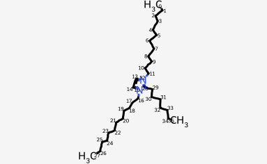 CCCCCCCCCCCCn1cc[n+](CCCCCCCCCCCC)c1CCCCCCC